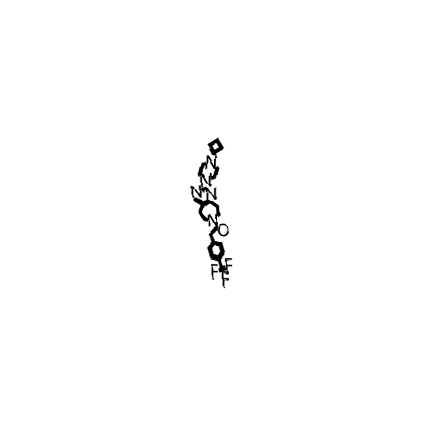 O=C(Cc1ccc(C(F)(F)F)cc1)N1CCc2cnc(N3CCN(C4CCC4)CC3)nc2CC1